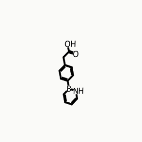 O=C(O)Cc1ccc(B2C=CC=CN2)cc1